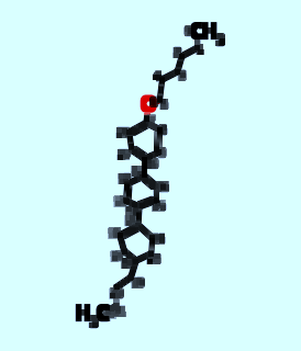 CCCCCCOc1ccc(-c2ccc(C3=CCC(CCCC)CC3)cc2)cc1